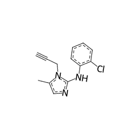 C#CCn1c(C)cnc1Nc1ccccc1Cl